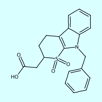 O=C(O)CC1CCc2c(n(Cc3ccccc3)c3ccccc23)S1(=O)=O